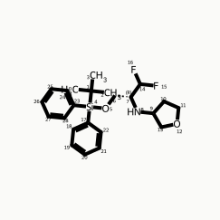 CC(C)(C)[Si](OC[C@@H](NC1CCOC1)C(F)F)(c1ccccc1)c1ccccc1